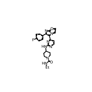 CCNC(=O)N1CCC(Nc2nccc(-c3c(-c4ccc(F)cc4)nc4occn34)n2)CC1